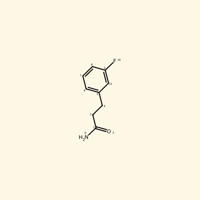 NC(=O)[CH]Cc1cccc(F)c1